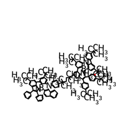 CC(C)(C)c1ccc(-c2c(-c3ccc(C(C)(C)C)cc3)n3c4c(cc(C(C)(C)CCC(C)(C)c5ccc(N6c7cc(C(C)(C)C)cc8c7B(c7ccc9ccccc9c76)n6c(-c7ccccc7)c(-c7ccccc7)c7cc(C(C)(C)C)cc-8c76)cc5)cc24)-c2cc(C(C)(C)C)cc4c2B3c2cc(C(C)(C)C)cc3c5cc(C(C)(C)C)ccc5n-4c23)cc1